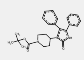 CC(C)(C)OC(=O)N1CCC(n2c(-c3ccccc3)c(-c3ccccc3)[nH]c2=O)CC1